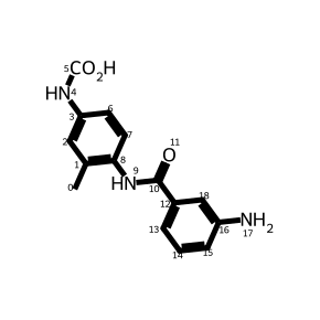 Cc1cc(NC(=O)O)ccc1NC(=O)c1cccc(N)c1